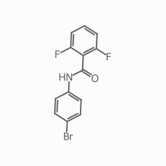 O=C(Nc1ccc(Br)cc1)c1c(F)cccc1F